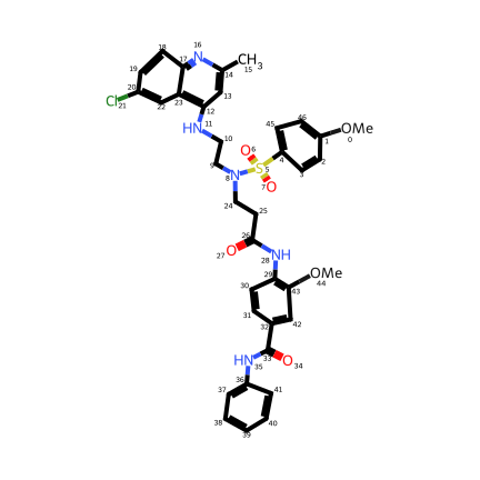 COc1ccc(S(=O)(=O)N(CCNc2cc(C)nc3ccc(Cl)cc23)CCC(=O)Nc2ccc(C(=O)Nc3ccccc3)cc2OC)cc1